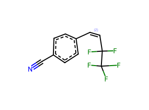 N#Cc1ccc(/C=C\C(F)(F)C(F)(F)F)cc1